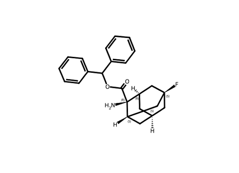 N[C@@]1(C(=O)OC(c2ccccc2)c2ccccc2)[C@@H]2C[C@@H]3C[C@H]1C[C@@](F)(C3)C2